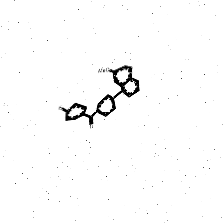 COc1ccc2cccc(-c3ccc(C(=O)c4ccc(F)cc4)cc3)c2c1